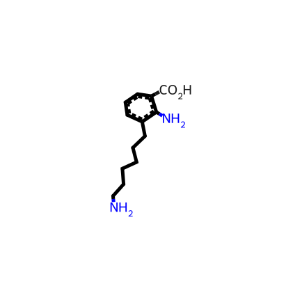 NCCCCCCc1cccc(C(=O)O)c1N